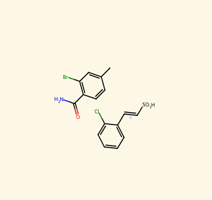 Cc1ccc(C(N)=O)c(Br)c1.O=S(=O)(O)/C=C/c1ccccc1Cl